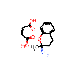 CC1(N)CCc2ccccc2O1.O=C(O)/C=C\C(=O)O